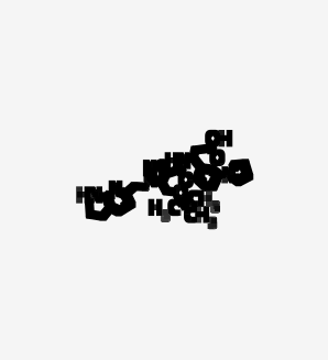 CC(C)(C)OCc1c(C(=O)NC(CC(=O)O)c2cccc(-n3cccc3)c2)cnn1CCc1ccc2c(n1)NCCC2